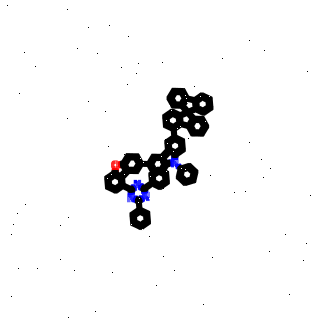 c1ccc(-c2nc(-c3ccccc3)nc(-c3cccc4oc5ccc(-c6ccc7c(c6)c6cc(-c8cccc9c8-c8ccccc8C98c9ccccc9-c9ccccc98)ccc6n7-c6ccccc6)cc5c34)n2)cc1